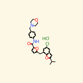 CC(C)c1cc2cc(Cl)cc(Cc3ccc(C(=O)Nc4ccc(CN5CCOCC5)cc4)o3)c2o1.Cl